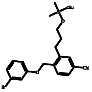 CC(C)(C)[Si](C)(C)OCCCc1cc(C#N)ccc1COc1cccc(Br)c1